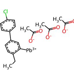 CC(=O)[O-].CC(=O)[O-].CC(=O)[O-].CCc1ccc(-c2ccc(Cl)cc2)c[c]1[Pb+3]